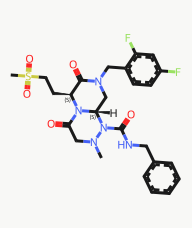 CN1CC(=O)N2[C@@H](CCS(C)(=O)=O)C(=O)N(Cc3ccc(F)cc3F)C[C@@H]2N1C(=O)NCc1ccccc1